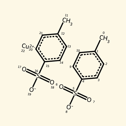 Cc1ccc(S(=O)(=O)[O-])cc1.Cc1ccc(S(=O)(=O)[O-])cc1.[Cu+2]